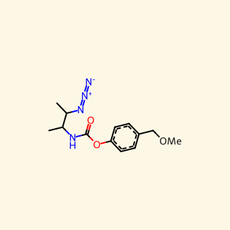 COCc1ccc(OC(=O)NC(C)C(C)N=[N+]=[N-])cc1